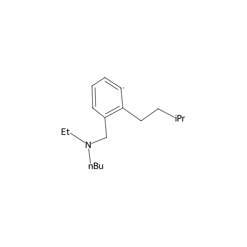 CCCCN(CC)Cc1ccc[c]c1CCC(C)C